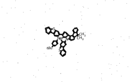 CC(C)(C)c1ccc(N2B3c4cc5sc6ccccc6c5cc4-n4c5ccc6c(c5c5ccc(c3c54)-c3cc4sc5ccccc5c4cc32)-c2ccccc2C6(C)C)cc1